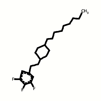 CCCCCCCCCC1CCC(CCc2cc(F)c(F)c(F)c2)CC1